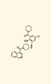 N#Cc1cc(Cl)cc(C(=O)N2CCCCC2)c1N[C@@H]1CCCN(C(=O)c2cncc3ccccc23)C1